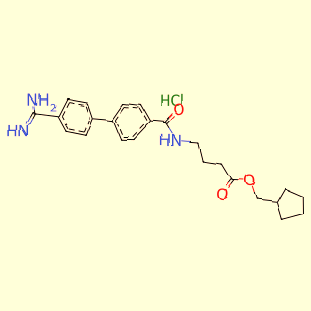 Cl.N=C(N)c1ccc(-c2ccc(C(=O)NCCCC(=O)OCC3CCCC3)cc2)cc1